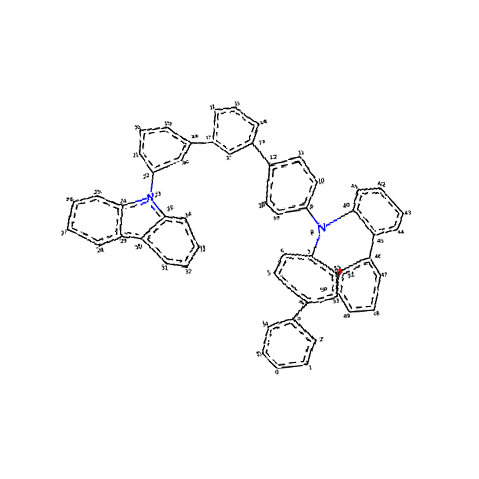 c1ccc(-c2ccc(N(c3ccc(-c4cccc(-c5cccc(-n6c7ccccc7c7ccccc76)c5)c4)cc3)c3ccccc3-c3ccccc3)cc2)cc1